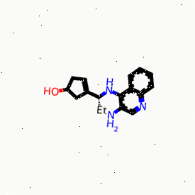 CC[C@@H](Nc1c(N)cnc2ccccc12)C1=CCC(O)C1